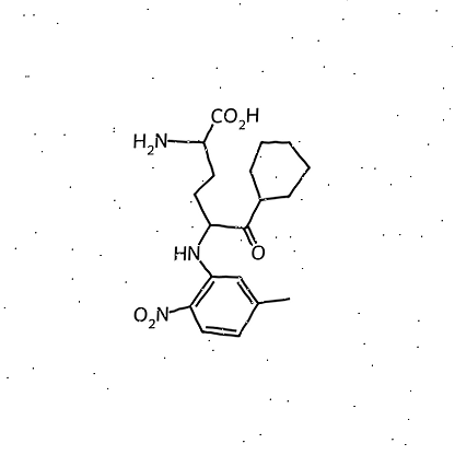 Cc1ccc([N+](=O)[O-])c(NC(CCC(N)C(=O)O)C(=O)C2CCCCC2)c1